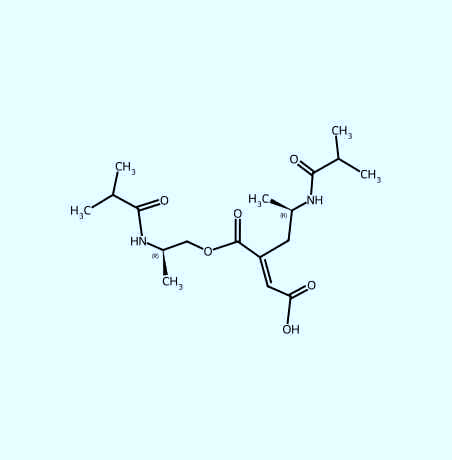 CC(C)C(=O)N[C@H](C)COC(=O)C(=CC(=O)O)C[C@@H](C)NC(=O)C(C)C